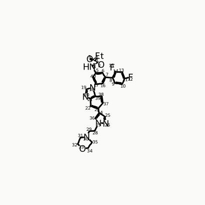 CCS(=O)(=O)Nc1cc(-c2ccc(F)cc2F)cc(-n2cnc3cc(-c4cnn(CCN5CCOCC5)c4)ccc32)c1